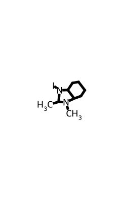 CC1N(C)C2CCCCC2N1I